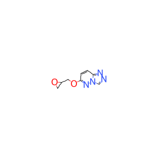 c1cc2nncn2nc1OCC1CO1